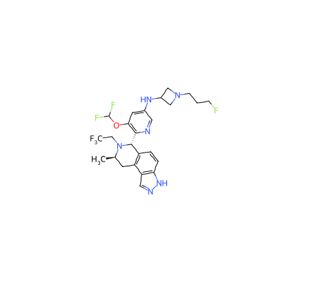 C[C@@H]1Cc2c(ccc3[nH]ncc23)[C@@H](c2ncc(NC3CN(CCCF)C3)cc2OC(F)F)N1CC(F)(F)F